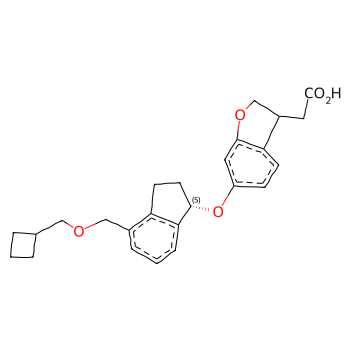 O=C(O)CC1COc2cc(O[C@H]3CCc4c(COCC5CCC5)cccc43)ccc21